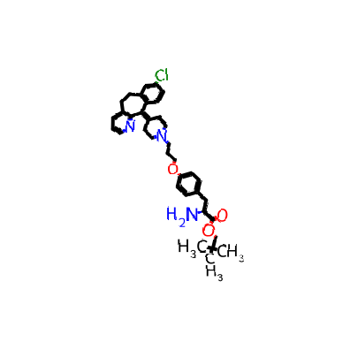 CC(C)(C)COC(=O)[C@@H](N)Cc1ccc(OCCCN2CCC(=C3c4ccc(Cl)cc4CCc4cccnc43)CC2)cc1